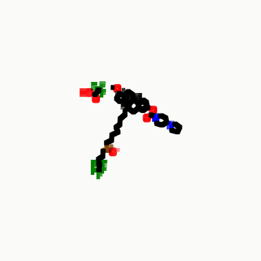 CO[C@H]1CC[C@H]2[C@@H]3[C@H](CCCCCCCCC[S+]([O-])CCCC(F)(F)C(F)(F)F)Cc4cc(OC(=O)N5CCC(N6CCCC6)CC5)ccc4[C@H]3CC[C@]12C.O=C(O)C(F)(F)F